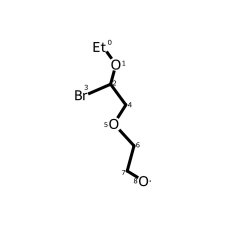 CCOC(Br)COCC[O]